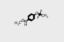 CONc1ccc(OC(C)(F)F)cc1